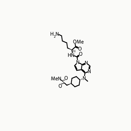 CNS(=O)(=O)C[C@H]1CC[C@H](N(C)c2ncnc3c2ccn3C(=O)N[C@@H](CCCCN)C(=O)OC)CC1